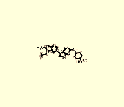 CC[C@]1(O)CC[C@@H](Nc2ncc3c(-c4cnc5nc(C)n(CC(F)F)c5c4)c[nH]c3n2)CC1